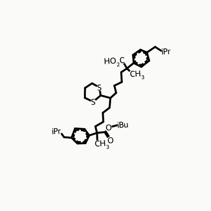 CCC(C)OC(=O)C(C)(CCCCC(CCCCC(C)(C(=O)O)c1ccc(CC(C)C)cc1)C1SCCCS1)c1ccc(CC(C)C)cc1